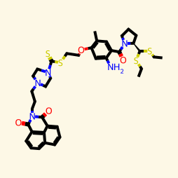 CCSC(SCC)[C@@H]1CCCN1C(=O)c1cc(C)c(OCCSC(=S)N2CCN(CCCN3C(=O)c4cccc5cccc(c45)C3=O)CC2)cc1N